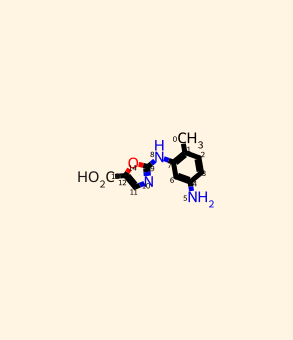 Cc1ccc(N)cc1Nc1ncc(C(=O)O)o1